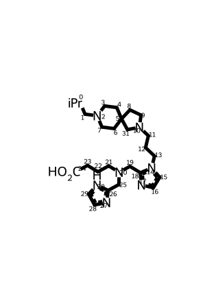 CC(C)CN1CCC2(CC1)CCN(CCCn1ccnc1CN(CCCC(=O)O)Cc1ncc[nH]1)C2